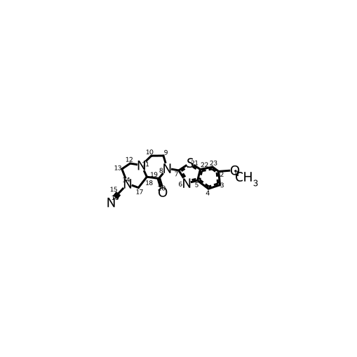 COc1ccc2nc(N3CCN4CCN(C#N)CC4C3=O)sc2c1